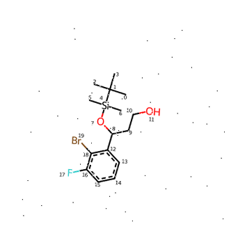 CC(C)(C)[Si](C)(C)OC(CCO)c1cccc(F)c1Br